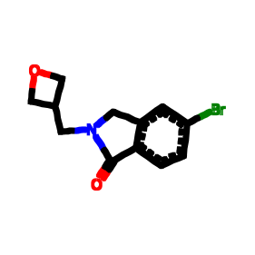 O=C1c2ccc(Br)cc2CN1CC1COC1